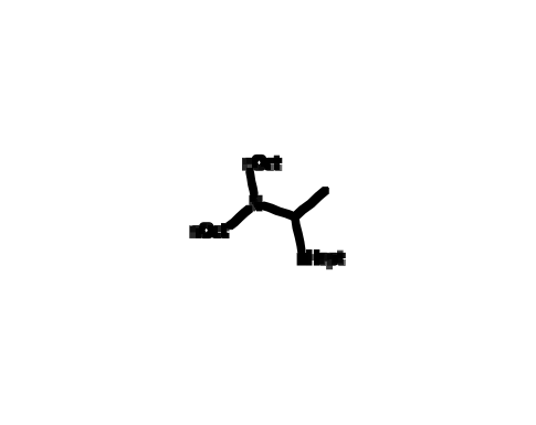 CCCCCCCCN(CCCCCCCC)C(C)CCCCCCC